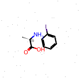 C[C@H](N)C(=O)O.Ic1ccccc1